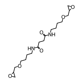 O=C(CCC(=O)NCCCCOCC1CO1)NCCCCOCC1CO1